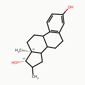 CC1CC2C3CCc4cc(O)ccc4C3CC[C@]2(C)[C@H]1O